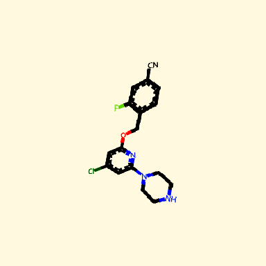 N#Cc1ccc(COc2cc(Cl)cc(N3CCNCC3)n2)c(F)c1